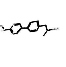 CC(=O)NC(C)Cc1ccc(-c2cnc(NC(C)C)nc2)cc1